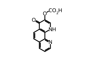 O=C(O)Oc1c[nH]c2c(ccc3cccnc32)c1=O